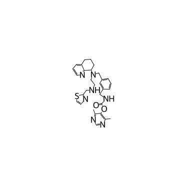 Cc1ncnc(C)c1OC(=O)NCc1cccc(CN(CCNCc2nccs2)C2CCCc3cccnc32)c1